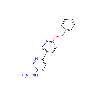 NNc1cnc(-c2ccc(OCc3ccccc3)nc2)cn1